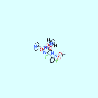 CN(C(=O)OC(C)(C)C)c1c(F)cccc1-c1ncc2c(N3C[C@H]4CC[C@@H](C3)N4C(=O)OC(C)(C)C)nc(OCC34CCCN3CCC4)nc2c1F